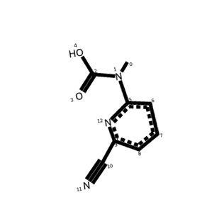 CN(C(=O)O)c1cccc(C#N)n1